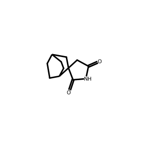 O=C1CC2(CC3CCC2CC3)C(=O)N1